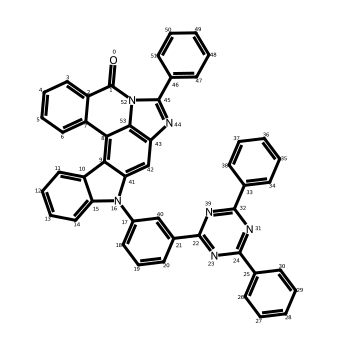 O=c1c2ccccc2c2c3c4ccccc4n(-c4cccc(-c5nc(-c6ccccc6)nc(-c6ccccc6)n5)c4)c3cc3nc(-c4ccccc4)n1c32